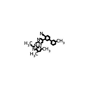 CCc1nc2c(C)cc(C)nc2n1Cc1ncc(-c2cc(-c3cccc(C)c3)ccc2C#N)cn1